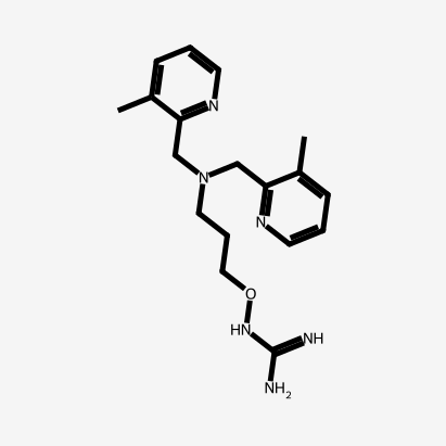 Cc1cccnc1CN(CCCONC(=N)N)Cc1ncccc1C